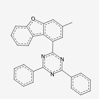 Cc1cc(-c2nc(-c3ccccc3)nc(-c3ccccc3)n2)c2c(c1)oc1ccccc12